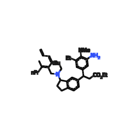 C=C/C=C\C(CN(CC(C)(C)C)C1CCc2ccc(C(CC(=O)OCC)c3cc(N)c(NC)c(CC)c3)cc21)=C(/C)CCC